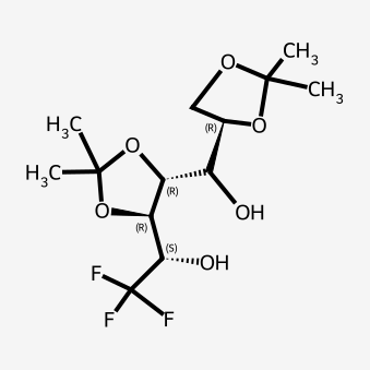 CC1(C)O[C@H]([C@H](O)C(F)(F)F)[C@@H](C(O)[C@H]2COC(C)(C)O2)O1